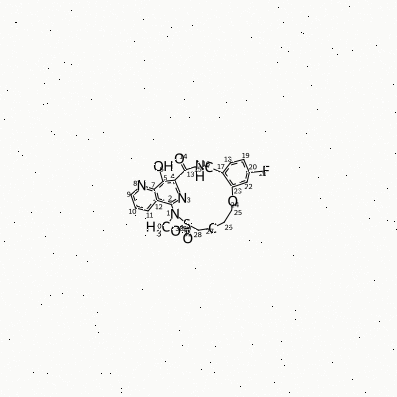 CN1c2nc(c(O)c3ncccc23)C(=O)NCc2ccc(F)cc2OCCCCS1(=O)=O